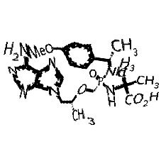 COc1ccc([C@H](C)N[P@@](=O)(CO[C@H](C)Cn2cnc3c(N)ncnc32)NC(C)(C)C(=O)O)cc1